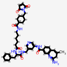 CC1=Cc2ccc(C(=O)Nc3cncc(CNC(=O)C(Cc4ccccc4)NC(=O)CCCCCNC(=O)C4CCC(CN5C(=O)C=CC5=O)CC4)c3)cc2N=C(N)C1